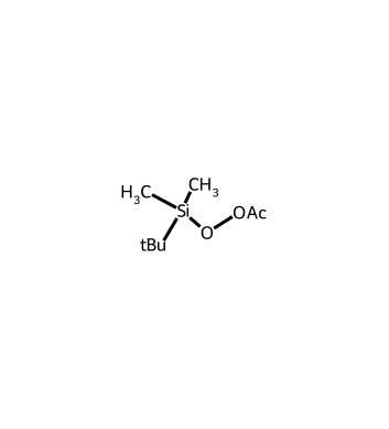 CC(=O)OO[Si](C)(C)C(C)(C)C